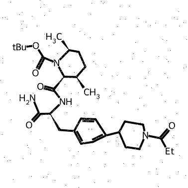 CCC(=O)N1CCC(c2ccc(C[C@H](NC(=O)[C@@H]3[C@H](C)CC[C@H](C)N3C(=O)OC(C)(C)C)C(N)=O)cc2)CC1